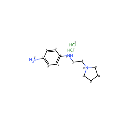 Cl.Cl.Nc1ccc(NCCN2CCCC2)cc1